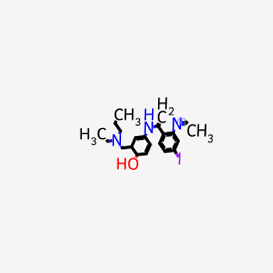 C=C(NC1=CC(CN(CC)CCC)C(O)C=C1)c1ccc(I)cc1/N=C\C